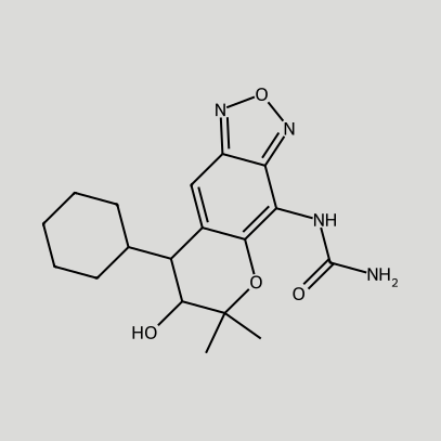 CC1(C)Oc2c(cc3nonc3c2NC(N)=O)C(C2CCCCC2)C1O